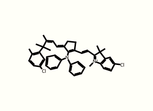 CC(=CC=C1CCC(C=CC2=[N+](C)c3ccc(Cl)cc3C2(C)C)=C1N(c1ccccc1)c1ccccc1)C(C)(C)c1cc(Cl)ccc1C